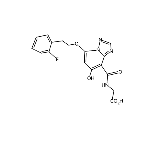 O=C(O)CNC(=O)c1c(O)cc(OCCc2ccccc2F)n2ncnc12